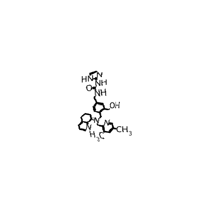 Cc1cnc(CN(Cc2ccc(CNC(=O)Nc3ncc[nH]3)cc2CO)[C@H]2CCCc3cccnc32)c(C)c1